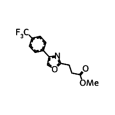 COC(=O)CCc1nc(-c2ccc(C(F)(F)F)cc2)co1